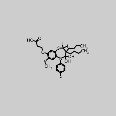 CCCCC1(CCCC)C(I)(I)Sc2cc(OCCC(=O)O)c(SC)cc2N(c2ccc(F)cc2)C1(O)O